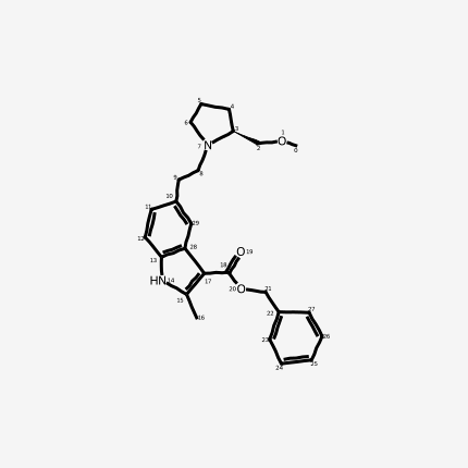 COC[C@@H]1CCCN1CCc1ccc2[nH]c(C)c(C(=O)OCc3ccccc3)c2c1